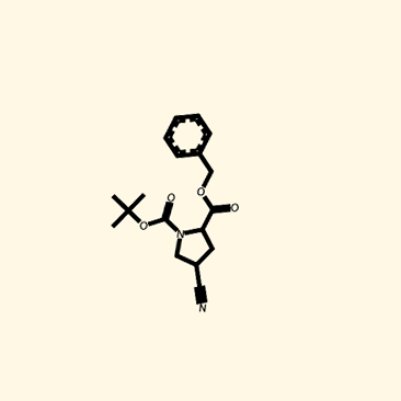 CC(C)(C)OC(=O)N1CC(C#N)CC1C(=O)OCc1ccccc1